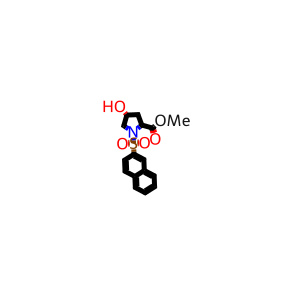 COC(=O)C1CC(O)CN1S(=O)(=O)c1ccc2ccccc2c1